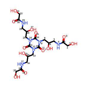 O=C(CO)NCC(O)Cn1c(=O)n(CC(O)CNC(=O)CO)c(=O)n(CC(O)CNC(=O)CO)c1=O